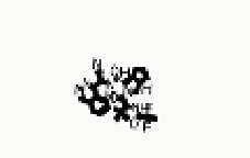 CC(F)(F)C(=O)NC(C(=O)N1C[C@@H]2CCC[C@@H]2[C@H]1C(=O)NC(C#N)c1nncc2ccccc12)C(C)(C)C